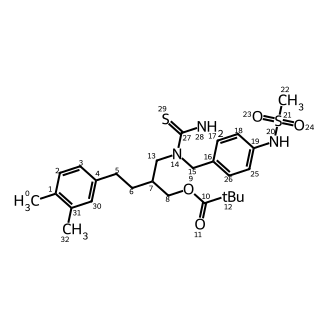 Cc1ccc(CCC(COC(=O)C(C)(C)C)CN(Cc2ccc(NS(C)(=O)=O)cc2)C(N)=S)cc1C